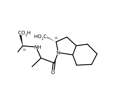 CC(N[C@@H](C)C(=O)O)C(=O)N1C2CCCCC2C[C@H]1C(=O)O